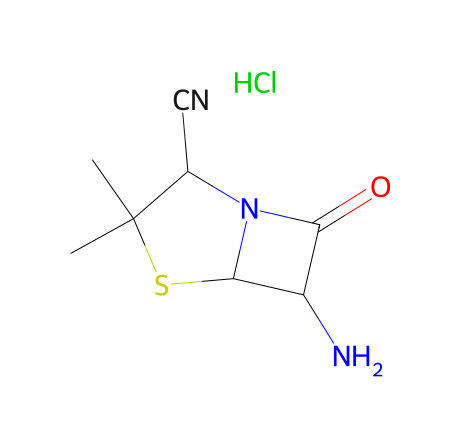 CC1(C)SC2C(N)C(=O)N2C1C#N.Cl